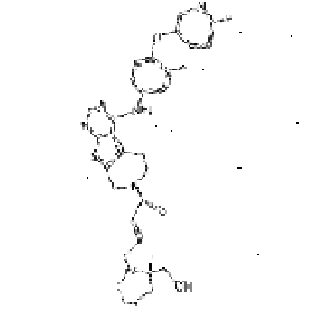 Cc1ccc(Oc2ccc(Nc3ncnc4sc5c(c34)CCN(C(=O)/C=C/CN3CCCCC3(C)CO)C5)cc2C)cn1